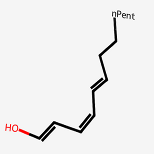 CCCCCCC/C=C/C=C\C=C\O